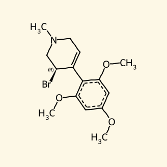 COc1cc(OC)c(C2=CCN(C)C[C@@H]2Br)c(OC)c1